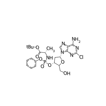 C[C@H](NP(=O)(Oc1ccccc1)O[C@@H]1C[C@H](n2cnc3c(N)nc(Cl)nc32)OC1CO)C(=O)OC(C)(C)C